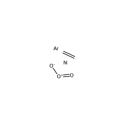 C=C.O=[O+][O-].[Ar].[N]